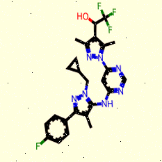 Cc1nn(-c2cc(Nc3c(C)c(-c4ccc(F)cc4)nn3CC3CC3)ncn2)c(C)c1C(O)C(F)(F)F